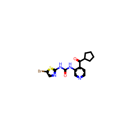 O=C(Nc1ncc(Br)s1)Nc1cnccc1C(=O)C1CCCC1